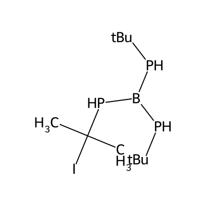 CC(C)(C)PB(PC(C)(C)C)PC(C)(C)I